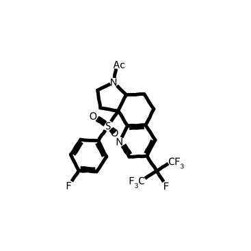 CC(=O)N1CCC2(S(=O)(=O)c3ccc(F)cc3)c3ncc(C(F)(C(F)(F)F)C(F)(F)F)cc3CCC12